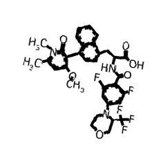 COc1cc(C)n(C)c(=O)c1-c1ccc(CC(NC(=O)c2c(F)cc(N3CCOC[C@@H]3C(F)(F)F)cc2F)C(=O)O)c2ccccc12